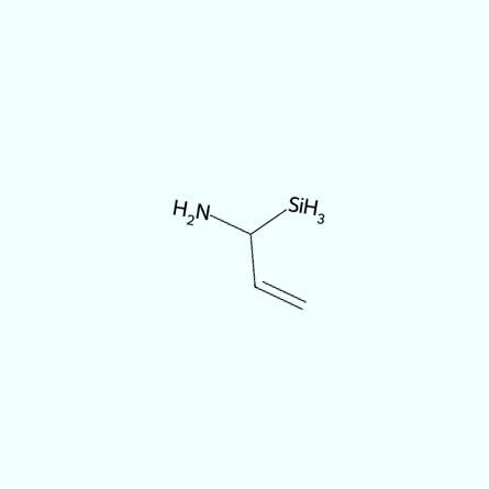 C=CC(N)[SiH3]